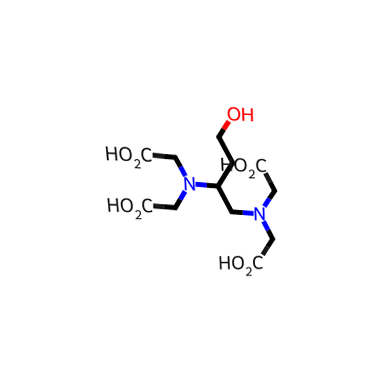 O=C(O)CN(CC(=O)O)CC(CCO)N(CC(=O)O)CC(=O)O